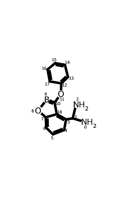 NC(N)c1cccc2obc(Oc3ccccc3)c12